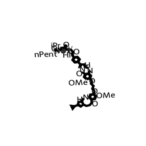 CCCCCC(=O)N[C@@H](C(=O)N[C@H](C)C(=O)Nc1ccc(C2=CN3C(=O)c4cc(OC)c(OCCCOc5cc6c(cc5OC)C(=O)CCC5C=C(C7CC7)C[C@@H]5/C=N\6)cc4N=C[C@H]3C2)cc1)C(C)C